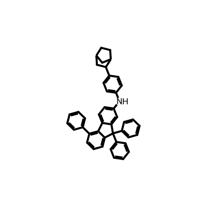 c1ccc(-c2cccc3c2-c2ccc(Nc4ccc(C5CC6CCC5C6)cc4)cc2C3(c2ccccc2)c2ccccc2)cc1